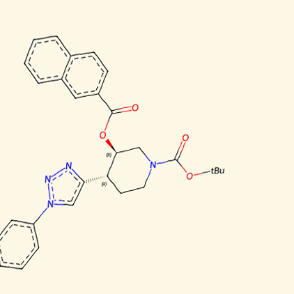 CC(C)(C)OC(=O)N1CC[C@H](c2cn(-c3ccccc3)nn2)[C@@H](OC(=O)c2ccc3ccccc3c2)C1